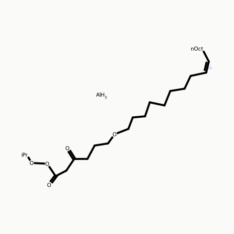 CCCCCCCC/C=C\CCCCCCCCOCCCC(=O)CC(=O)OOC(C)C.[AlH3]